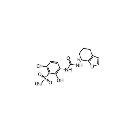 CC(C)(C)S(=O)(=O)c1c(Cl)ccc(NC(=O)N[C@@H]2CCCc3ccoc32)c1O